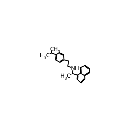 CC(C)c1ccc(CCN[C@@H](C)c2cccc3ccccc23)cc1